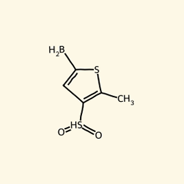 Bc1cc([SH](=O)=O)c(C)s1